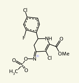 COC(=O)C1=C(Cl)/C(=N/OS(C)(=O)=O)CC(c2ccc(Cl)cc2F)N1